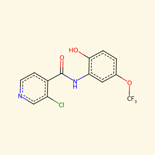 O=C(Nc1cc(OC(F)(F)F)ccc1O)c1ccncc1Cl